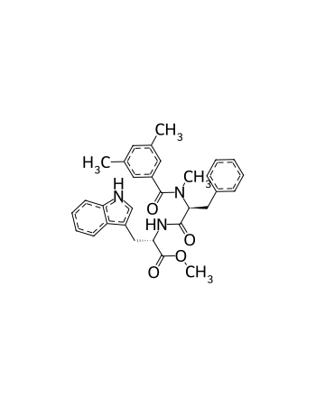 COC(=O)[C@H](Cc1c[nH]c2ccccc12)NC(=O)[C@H](Cc1ccccc1)N(C)C(=O)c1cc(C)cc(C)c1